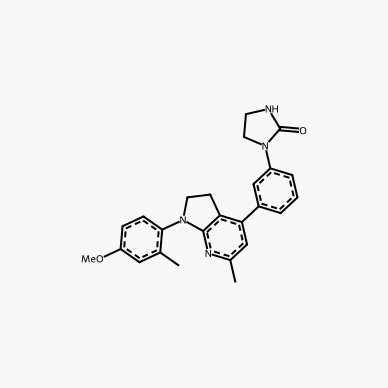 COc1ccc(N2CCc3c(-c4cccc(N5CCNC5=O)c4)cc(C)nc32)c(C)c1